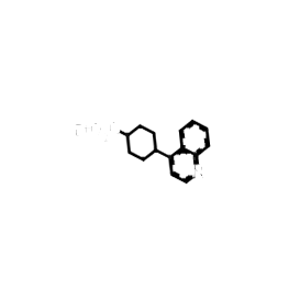 CCOC(=O)C1CCC(c2ccnc3ccccc23)CC1